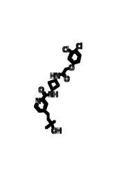 CC(C)(O)CCc1ccnc(C(=O)N[C@H]2C[C@@H](NC(=O)COc3ccc(Cl)c(Cl)c3)C2)c1